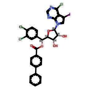 O=C(O[C@H](c1ccc(Cl)c(Cl)c1)[C@H]1O[C@@H](n2cc(I)c3c(Cl)ncnc32)[C@H](O)[C@@H]1O)c1ccc(-c2ccccc2)cc1